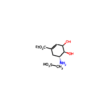 CCOC(=O)C1=C[C@@H](O)[C@@H](O)[C@H](N)C1.CS(=O)(=O)O